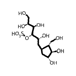 O=S(=O)(O)O[C@H]([C@H](O)[C@@H](O)CO)[C@H](O)CC1C[C@@H](O)[C@H](O)[C@H]1CO